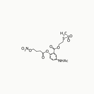 CC(=O)Nc1ccc(OC(=O)CCCO[N+](=O)[O-])c(C(=O)OCCSS(C)(=O)=O)c1